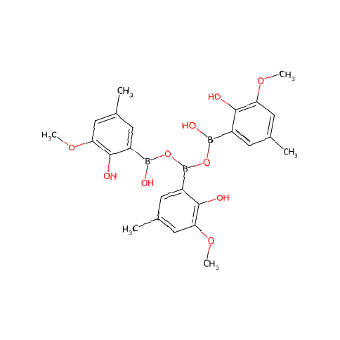 COc1cc(C)cc(B(O)OB(OB(O)c2cc(C)cc(OC)c2O)c2cc(C)cc(OC)c2O)c1O